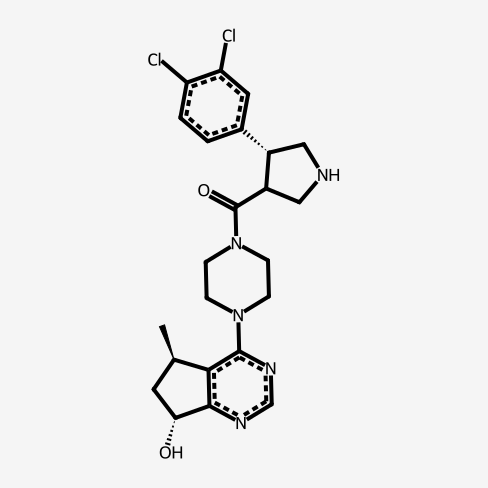 C[C@@H]1C[C@@H](O)c2ncnc(N3CCN(C(=O)C4CNC[C@H]4c4ccc(Cl)c(Cl)c4)CC3)c21